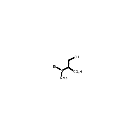 CCN(NC)C(CS)C(=O)O